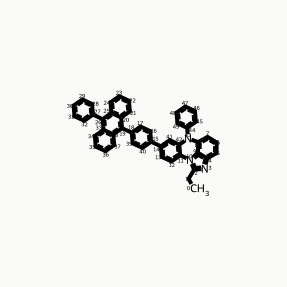 CCc1nc2cccc3c2n1-c1ccc(-c2ccc(-c4c5ccccc5c(-c5ccccc5)c5ccccc45)cc2)cc1N3c1ccccc1